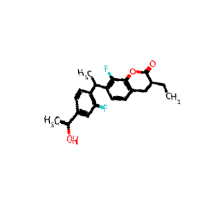 CCC1Cc2ccc(C(C)c3ccc(C(C)O)cc3F)c(F)c2OC1=O